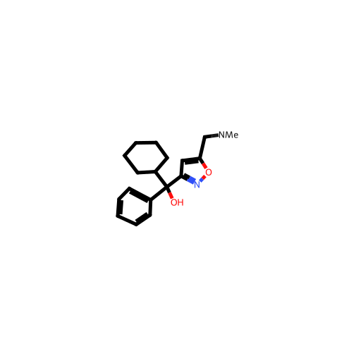 CNCc1cc(C(O)(c2ccccc2)C2CCCCC2)no1